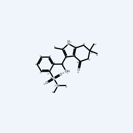 Cc1[nH]c2c(c1C(O)c1ccccc1S(=O)(=O)N(C)C)C(=O)CC(C)(C)C2